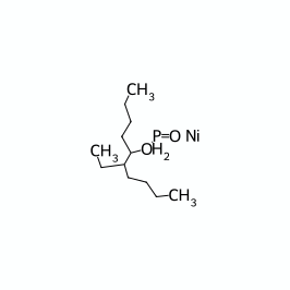 CCCCC(CC)C(CCCC)O[PH2]=O.[Ni]